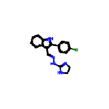 Clc1ccc(-c2[nH]c3ccccc3c2/C=N/NC2=NCCN2)cc1